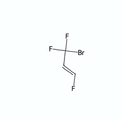 FC=CC(F)(F)Br